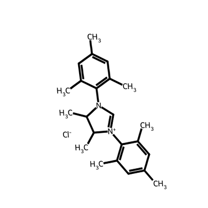 Cc1cc(C)c(N2C=[N+](c3c(C)cc(C)cc3C)C(C)C2C)c(C)c1.[Cl-]